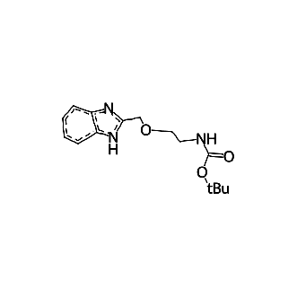 CC(C)(C)OC(=O)NCCOCc1nc2ccccc2[nH]1